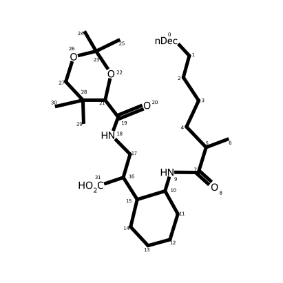 CCCCCCCCCCCCCCC(C)C(=O)NC1CCCCC1C(CNC(=O)C1OC(C)(C)OCC1(C)C)C(=O)O